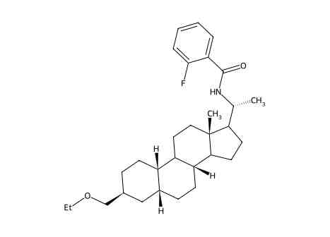 CCOC[C@H]1CC[C@@H]2C3CC[C@@]4(C)C(CCC4[C@@H](C)NC(=O)c4ccccc4F)[C@@H]3CC[C@@H]2C1